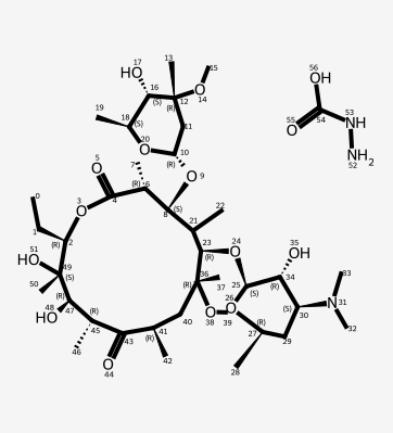 CC[C@H]1OC(=O)[C@H](C)[C@@H](O[C@H]2C[C@@](C)(OC)[C@@H](O)[C@H](C)O2)C(C)[C@@H](O[C@@H]2O[C@H](C)C[C@H](N(C)C)[C@H]2O)[C@](C)(OC)C[C@@H](C)C(=O)[C@H](C)[C@@H](O)[C@]1(C)O.NNC(=O)O